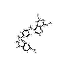 COc1ccc(C(C)NS(=O)(=O)c2ccc(Nc3ccnc4c(OC)nc(F)cc34)cc2)cc1